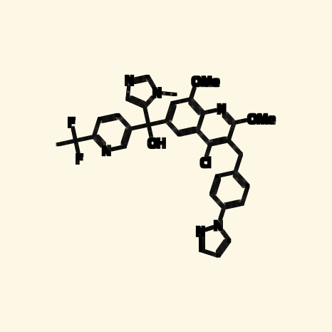 COc1nc2c(OC)cc(C(O)(c3ccc(C(C)(F)F)nc3)c3cncn3C)cc2c(Cl)c1Cc1ccc(-n2cccn2)cc1